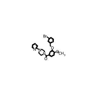 COc1ccc(C(=O)N2CCN(c3ccccn3)CC2)cc1OCc1cccc(Br)c1